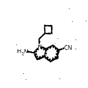 N#Cc1ccc2cc(N)n(CC3CCC3)c2c1